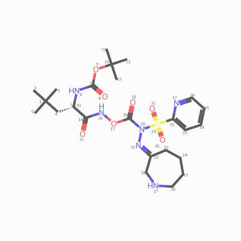 CC(C)(C)C[C@H](NC(=O)OC(C)(C)C)C(=O)NOC(=O)N(N=C1CCCCNC1)S(=O)(=O)c1ccccn1